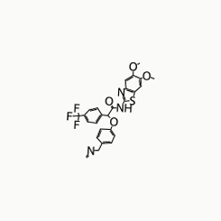 C=NCc1ccc(OC(C(=O)Nc2nc3cc(OC)c(OC)cc3s2)c2ccc(C(F)(F)F)cc2)cc1